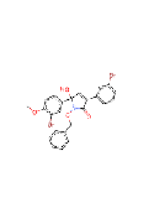 COc1ccc(C2(O)C=C(c3cccc(Br)c3)C(=O)N2OCc2ccccc2)cc1Br